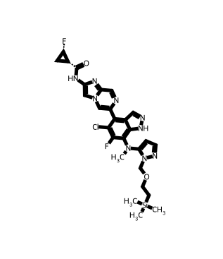 CN(c1c(F)c(Cl)c(-c2cn3cc(NC(=O)[C@@H]4C[C@@H]4F)nc3cn2)c2cn[nH]c12)c1ccnn1COCC[Si](C)(C)C